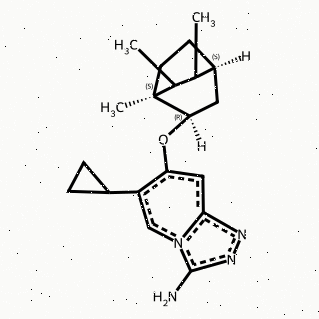 CC1C(C)[C@]2(C)CC[C@H]1C[C@H]2Oc1cc2nnc(N)n2cc1C1CC1